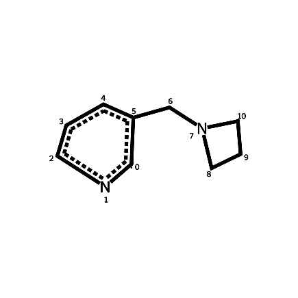 [c]1ncccc1CN1CCC1